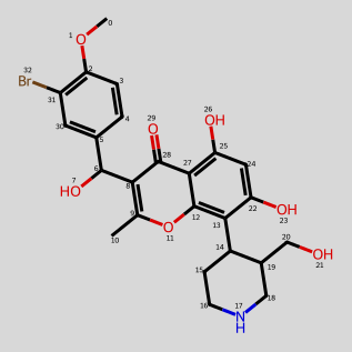 COc1ccc(C(O)c2c(C)oc3c(C4CCNCC4CO)c(O)cc(O)c3c2=O)cc1Br